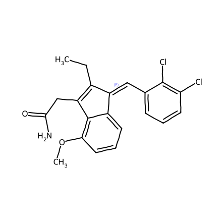 CCC1=C(CC(N)=O)c2c(OC)cccc2/C1=C\c1cccc(Cl)c1Cl